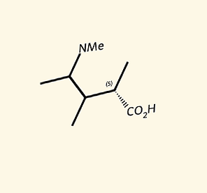 CNC(C)C(C)[C@H](C)C(=O)O